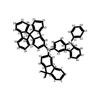 CC1(C)c2ccccc2-c2cc(N(c3ccc4c(c3)-c3ccccc3C43c4ccccc4-c4ccccc43)c3ccc4c(c3)c3ccccc3n4-c3ccccc3)ccc21